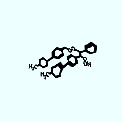 CC1CCC(c2ccc(COOC(c3ccccc3)C(OO)c3ccc(C4CCC(C)CC4)cc3)cc2)CC1